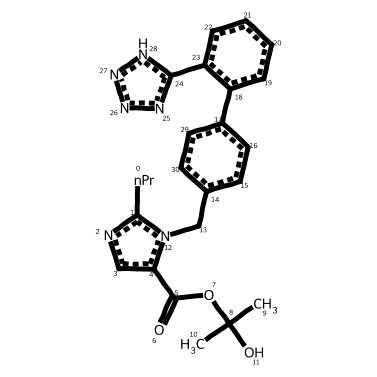 CCCc1ncc(C(=O)OC(C)(C)O)n1Cc1ccc(-c2ccccc2-c2nnn[nH]2)cc1